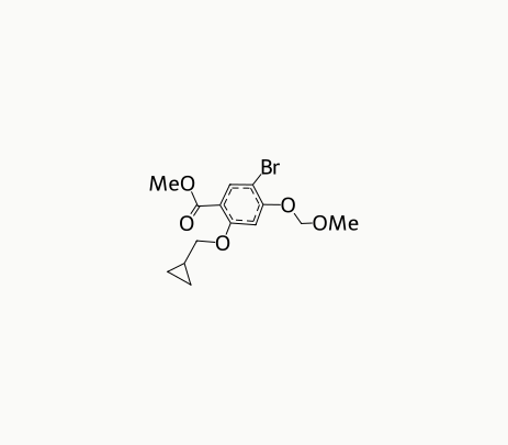 COCOc1cc(OCC2CC2)c(C(=O)OC)cc1Br